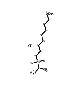 CCCCCCCCCCCCCCCCCC[N+](C)(C)C(N)CC.[Cl-]